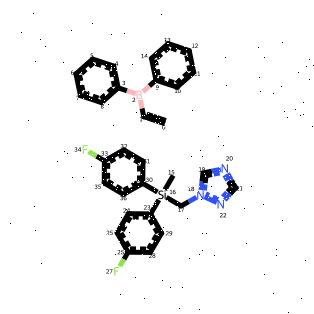 C=CB(c1ccccc1)c1ccccc1.C[Si](Cn1cncn1)(c1ccc(F)cc1)c1ccc(F)cc1